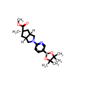 COC(=O)[C@]1(C)C[C@H]2CN(c3ccc(B4OC(C)(C)C(C)(C)O4)cn3)C[C@H]2C1